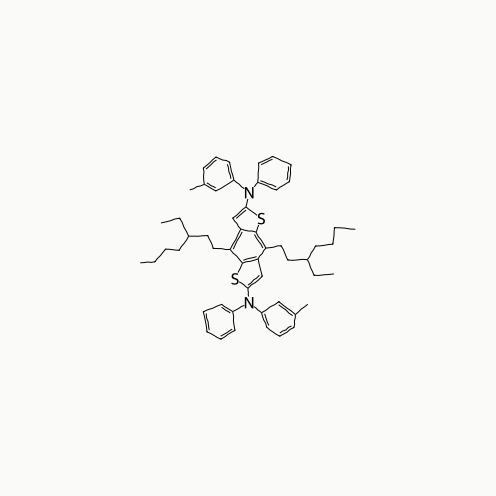 CCCCC(CC)CCc1c2cc(N(c3ccccc3)c3cccc(C)c3)sc2c(CCC(CC)CCCC)c2cc(N(c3ccccc3)c3cccc(C)c3)sc12